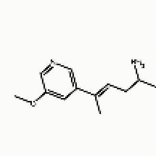 COc1cncc(C(C)=CCC(C)N)c1